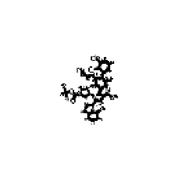 CSc1nc2c(F)c(-c3cccc(Cl)c3Cl)c(CCC#N)cc2c2c1cc(C1CCc3cccc(=O)n31)n2[C@@H]1CN(C(=O)OC(C)(C)C)C[C@H]1C